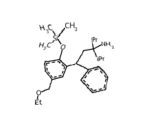 CCOCc1ccc(O[Si](C)(C)C)c(C(CC(N)(C(C)C)C(C)C)c2ccccc2)c1